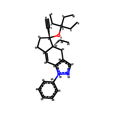 C#C[C@]1(O[Si](CC)(CC)CC)CCC2=Cc3c(cnn3-c3ccccc3)C[C@@]21CC